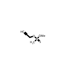 C#CCOP(C)(=S)OC